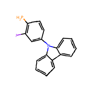 Pc1ccc(-n2c3ccccc3c3ccccc32)cc1I